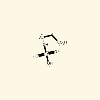 CC(=O)CC(=O)O.[O]=[Cr](=[O])([OH])[OH]